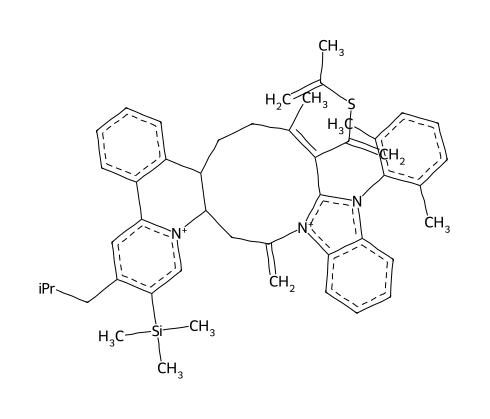 C=C(C)SC(=C)/C1=C(\C)CCC2c3ccccc3-c3cc(CC(C)C)c([Si](C)(C)C)c[n+]3C2CC(=C)[n+]2c1n(-c1c(C)cccc1C)c1ccccc12